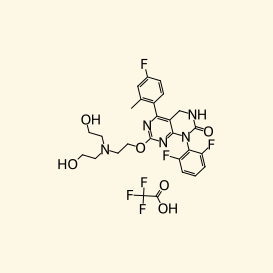 Cc1cc(F)ccc1-c1nc(OCCN(CCO)CCO)nc2c1CNC(=O)N2c1c(F)cccc1F.O=C(O)C(F)(F)F